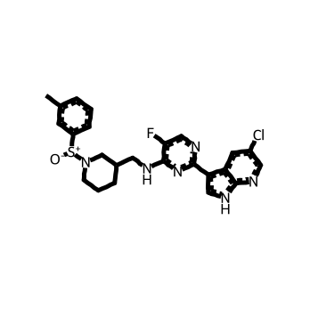 Cc1cccc([S+]([O-])N2CCCC(CNc3nc(-c4c[nH]c5ncc(Cl)cc45)ncc3F)C2)c1